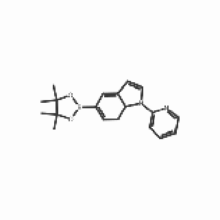 CC1(C)OB(C2=CCC3C(=C2)C=CN3c2ccccn2)OC1(C)C